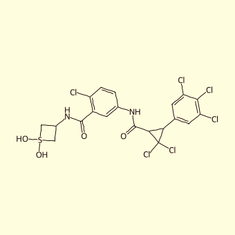 O=C(NC1CS(O)(O)C1)c1cc(NC(=O)C2C(c3cc(Cl)c(Cl)c(Cl)c3)C2(Cl)Cl)ccc1Cl